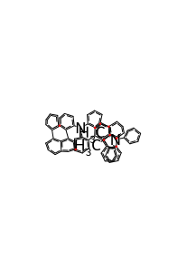 CC1(C)c2ccccc2-c2cccc(-c3cccc(N(c4ccccc4-c4cccc5cccc(-c6ccccc6)c45)c4ccccc4-c4cccc5c4c4ccccc4n5-c4ccccc4)c3)c21